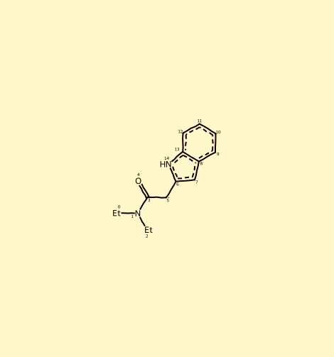 CCN(CC)C(=O)[CH]c1cc2ccccc2[nH]1